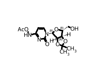 CC(=O)ONc1ccn([C@@H]2O[C@H](CO)[C@H]3OC(C)(C)O[C@H]32)c(=O)n1